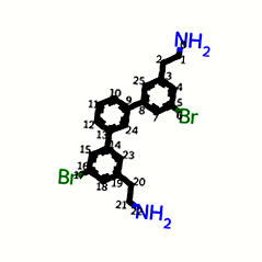 NCCc1cc(Br)cc(-c2cccc(-c3cc(Br)cc(CCN)c3)c2)c1